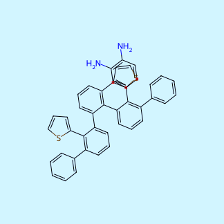 Nc1cccc(-c2cccc(-c3cccc(-c4ccccc4)c3-c3cccs3)c2-c2cccc(-c3ccccc3)c2-c2cccs2)c1N